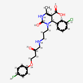 CC1=C(C(=O)O)C(c2cccc(Cl)c2)N(CCCNCC(=O)CCOc2ccc(F)cc2)C(=O)N1